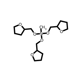 C[Si](OCC1CCCO1)(OCC1CCCO1)OCC1CCCO1